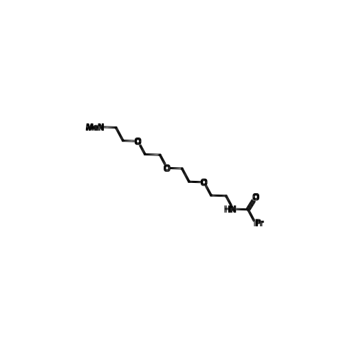 CNCCOCCOCCOCCNC(=O)C(C)C